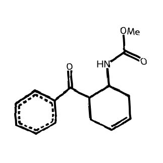 COC(=O)NC1CC=CCC1C(=O)c1ccccc1